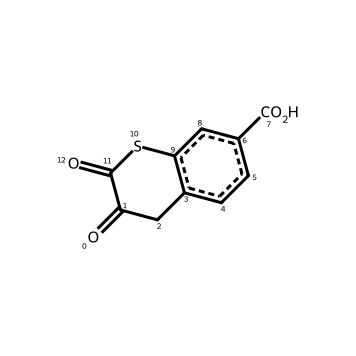 O=C1Cc2ccc(C(=O)O)cc2SC1=O